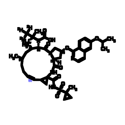 [2H]C([2H])([2H])C(C)(C)N(C(=O)O)[C@@H]1C(=O)N2C[C@H](Oc3nccc4cc(OC(C)C)ccc34)C[C@H]2C(=O)NC2(C(=O)NS(=O)(=O)C3(C)CC3)CC2/C=C\CC[C@@H](C)C[C@H]1C